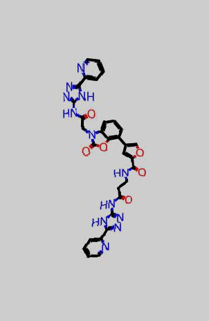 O=C(CCNC(=O)c1cc(-c2cccc3c2oc(=O)n3CC(=O)Nc2nnc(-c3ccccn3)[nH]2)co1)Nc1nnc(-c2ccccn2)[nH]1